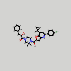 CC1(c2cc(-c3ccc(F)cc3)nc3cc(C(=O)N4CCN(C(=O)[C@H](O)Cc5ccccc5)CC4(C)C)oc23)CC1